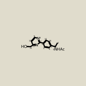 CC(=O)N[C@H](C)c1ccc(-c2nccc(CO)n2)cc1